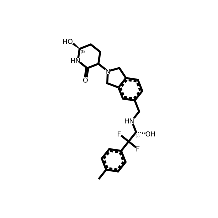 Cc1ccc(C(F)(F)[C@@H](O)NCc2ccc3c(c2)CN(C2CC[C@H](O)NC2=O)C3)cc1